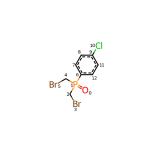 O=P(CBr)(CBr)c1ccc(Cl)cc1